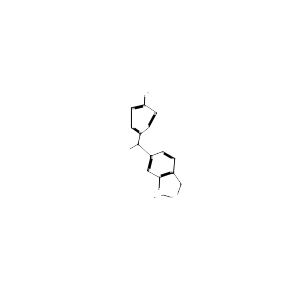 OB1OCc2ccc(C(O)c3ccc(S)cc3)cc21